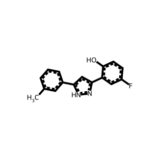 Cc1cccc(-c2cc(-c3cc(F)ccc3O)n[nH]2)c1